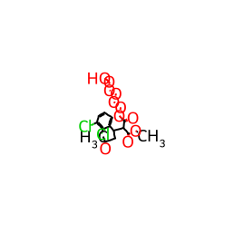 COC(=O)C(C(=O)OOOOOOO)C(CC(C)=O)c1cccc(Cl)c1Cl